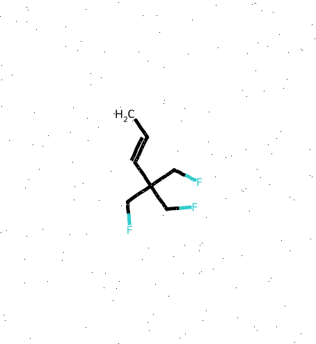 [CH2]/C=C/C(CF)(CF)CF